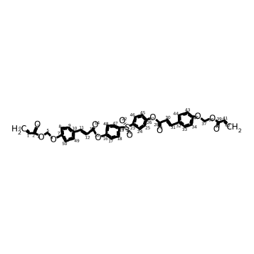 C=CC(=O)OCOc1ccc(C=CC(=O)Oc2ccc(S(=O)(=O)c3ccc(OC(=O)C=Cc4ccc(OCOC(=O)C=C)cc4)cc3)cc2)cc1